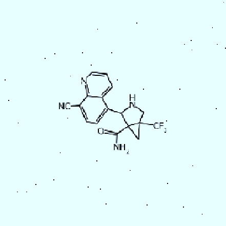 N#Cc1ccc(C2NCC3(C(F)(F)F)CC23C(N)=O)c2cccnc12